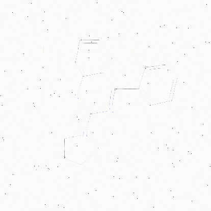 CN[C@H]1CCN(c2nc(-c3ccccc3F)c3ccccc3n2)C1.Cl